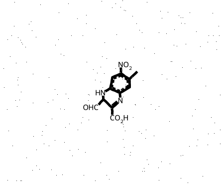 Cc1cc2c(cc1[N+](=O)[O-])NC(C=O)C(C(=O)O)=N2